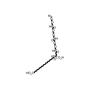 CC(=O)COCCOCCNC(=O)COCCOCCNC(=O)COCCOCCNC(=O)CCC(NC(=O)CCCCCCCCCCCCCCCCCCC(=O)O)C(=O)O